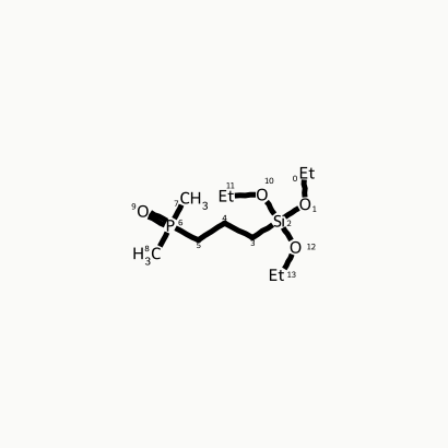 CCO[Si](CCCP(C)(C)=O)(OCC)OCC